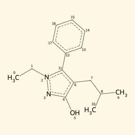 CCn1nc(O)c(CC(C)C)c1-c1ccccc1